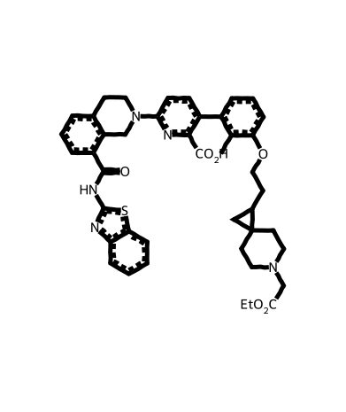 CCOC(=O)CN1CCC2(CC1)CC2CCOc1cccc(-c2ccc(N3CCc4cccc(C(=O)Nc5nc6ccccc6s5)c4C3)nc2C(=O)O)c1C